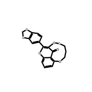 O=c1c2c(-c3ccc4c(c3)OCO4)oc3cccc(c13)OCCCCO2